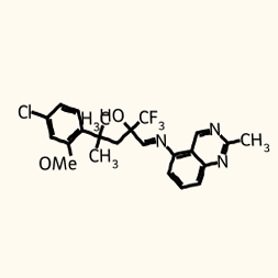 COc1cc(Cl)ccc1C(C)(C)CC(O)(/C=N/c1cccc2nc(C)ncc12)C(F)(F)F